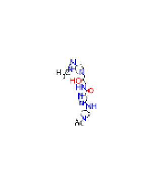 CC(=O)N1CCC(Nc2cc(C(=O)NCC(O)CN3CCc4ncn(C)c4C3)ncn2)CC1